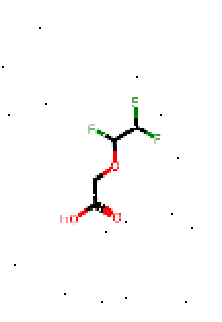 O=C(O)COC(F)C(F)F